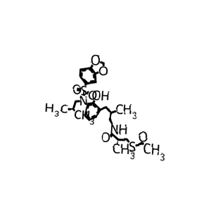 CC(=O)SC[C@H](C)C(=O)NCC(C)Cc1cccc(N(CC(C)C)S(=O)(=O)c2ccc3c(c2)OCO3)c1O